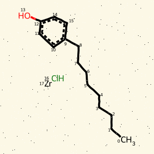 CCCCCCCCCc1ccc(O)cc1.Cl.[Zr]